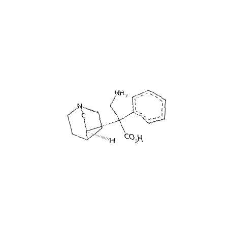 NCC(C(=O)O)(c1ccccc1)[C@@H]1CN2CCC1CC2